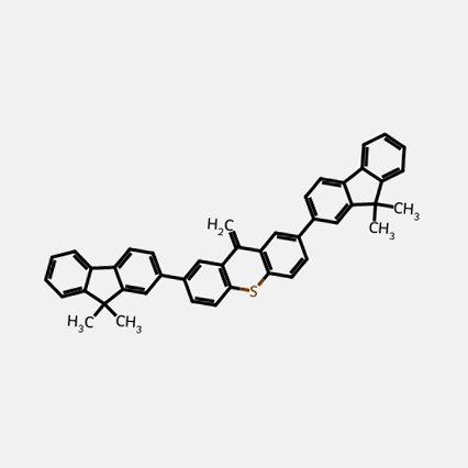 C=C1c2cc(-c3ccc4c(c3)C(C)(C)c3ccccc3-4)ccc2Sc2ccc(-c3ccc4c(c3)C(C)(C)c3ccccc3-4)cc21